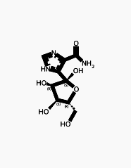 NC(=O)c1nc[nH]c1[C@]1(O)O[C@H](CO)[C@@H](O)[C@H]1O